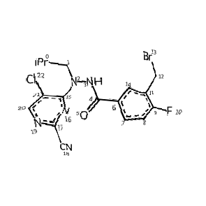 CC(C)CN(NC(=O)c1ccc(F)c(CBr)c1)c1nc(C#N)ncc1Cl